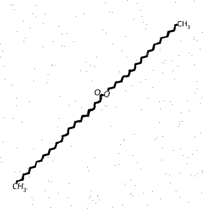 CCCCCCCCCCCCCCCCCCCCCCCCCCCC(=O)OCCCCCCCCCCCCCCCCCCCCCC